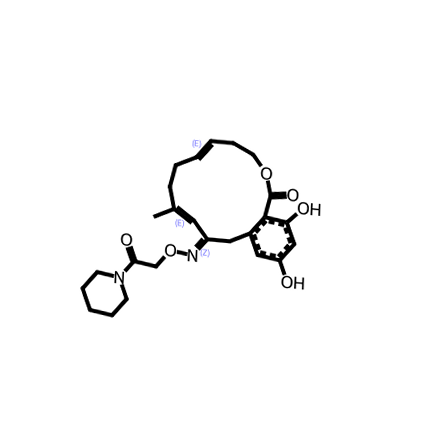 C/C1=C\C(=N/OCC(=O)N2CCCCC2)Cc2cc(O)cc(O)c2C(=O)OCC/C=C/CC1